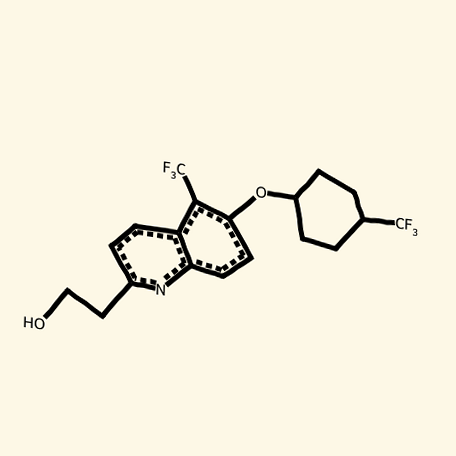 OCCc1ccc2c(C(F)(F)F)c(OC3CCC(C(F)(F)F)CC3)ccc2n1